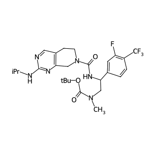 CC(C)Nc1ncc2c(n1)CN(C(=O)NC(CN(C)C(=O)OC(C)(C)C)c1ccc(C(F)(F)F)c(F)c1)CC2